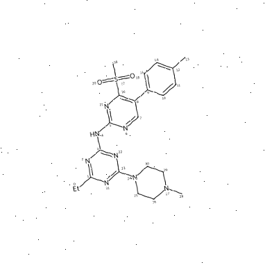 CCc1nc(Nc2ncc(-c3ccc(C)cc3)c(S(C)(=O)=O)n2)nc(N2CCN(C)CC2)n1